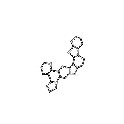 c1ccc2c(c1)oc1c2ccc2oc3cc4c(cc3c21)c1ncccc1c1nccn41